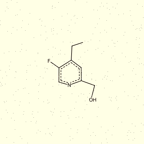 CCc1cc(CO)ncc1F